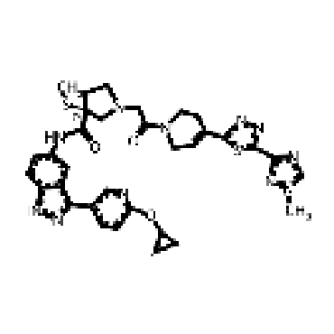 CS[C@@]1(C(=O)Nc2ccc3[nH]nc(-c4ccc(OC5CC5)nc4)c3c2)CCN(CC(=O)N2CC=C(c3nnc(-c4ncn(C)n4)s3)CC2)C1